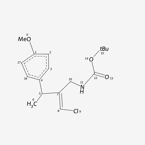 COc1ccc(C(C)C(=CCl)CNC(=O)OC(C)(C)C)cc1